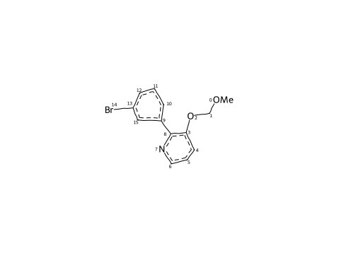 COCOc1cccnc1-c1cccc(Br)c1